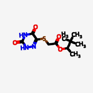 CC(OC(=O)CSc1n[nH]c(=O)[nH]c1=O)C(C)(C)C